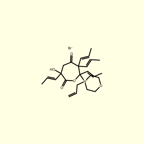 C=CC[N+]1(C2(C=CC)OC(=O)C(O)(C=CC)CC(=O)C2(C=CC)C=CC)CCOCC1.[Br-]